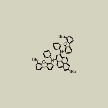 CC(C)(C)c1cc2ccc3c(N(c4ccccc4)c4cccc5c4oc4c(C(C)(C)C)cccc45)cc(N(c4ccccc4)c4cccc5c4oc4c(C(C)(C)C)cccc45)c4ccc(c1)c2c34